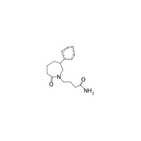 NC(=O)CCCN1CC(c2ccccc2)CCCC1=O